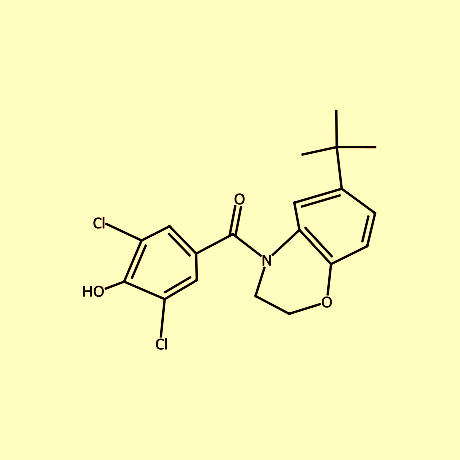 CC(C)(C)c1ccc2c(c1)N(C(=O)c1cc(Cl)c(O)c(Cl)c1)CCO2